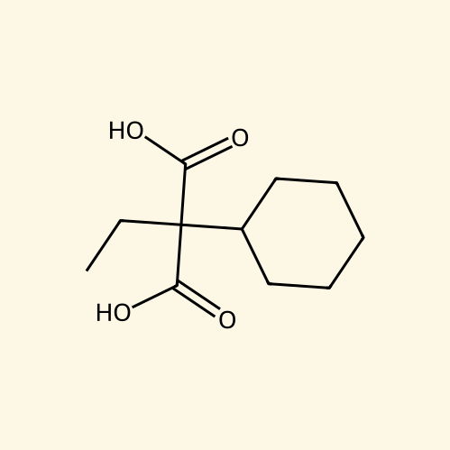 CCC(C(=O)O)(C(=O)O)C1CCCCC1